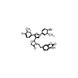 CC1CC(c2nn(C3=CC(C)C(Br)C=C3)cc2C2OCC(=O)N2CCc2ccc3[nH]c(=O)oc3c2)=CC=C1F